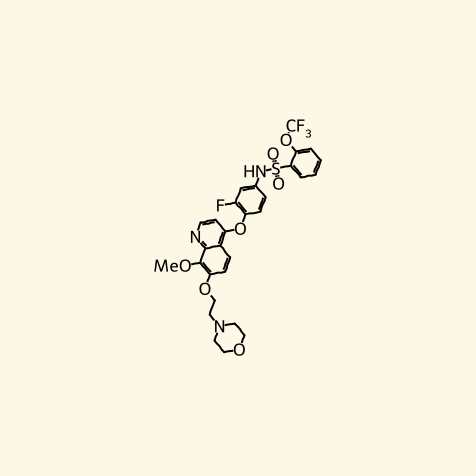 COc1c(OCCN2CCOCC2)ccc2c(Oc3ccc(NS(=O)(=O)c4ccccc4OC(F)(F)F)cc3F)ccnc12